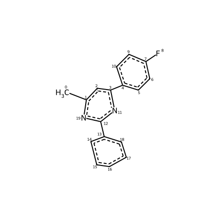 Cc1[c]c(-c2ccc(F)cc2)nc(-c2ccccc2)n1